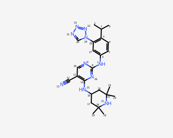 CC(C)c1ccc(Nc2ncc(C#N)c(NC3CC(C)(C)NC(C)(C)C3)n2)cc1-n1cnnn1